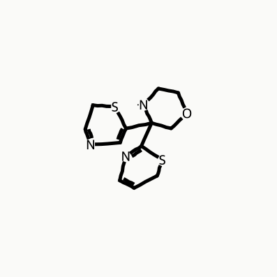 C1=CN=C(C2(C3=CN=CCS3)COCC[N]2)SC1